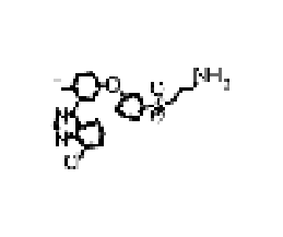 NCCCS(=O)(=O)c1cccc(Oc2ccc(F)c(-c3ncnc4c(Cl)cccc34)c2)c1